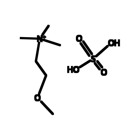 COCC[N+](C)(C)C.O=S(=O)(O)O